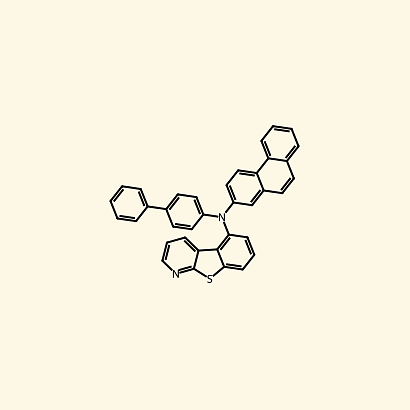 c1ccc(-c2ccc(N(c3ccc4c(ccc5ccccc54)c3)c3cccc4sc5ncccc5c34)cc2)cc1